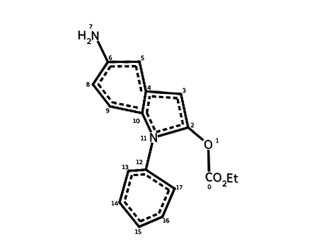 CCOC(=O)Oc1cc2cc(N)ccc2n1-c1ccccc1